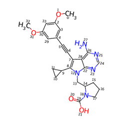 COc1cc(C#Cc2c(C3CC3)n(CC3CCCN3C(=O)O)c3ncnc(N)c23)cc(OC)c1